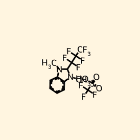 CN1c2ccccc2N(C)C1C(F)(F)C(F)(F)C(F)(F)F.O=S(=O)(O)C(F)(F)F